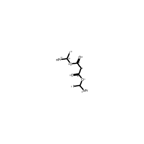 CCCC(I)OC(=O)CC(=O)OC(I)CCC